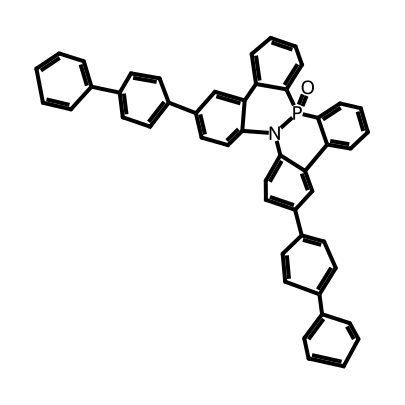 O=P12c3ccccc3-c3cc(-c4ccc(-c5ccccc5)cc4)ccc3N1c1ccc(-c3ccc(-c4ccccc4)cc3)cc1-c1ccccc12